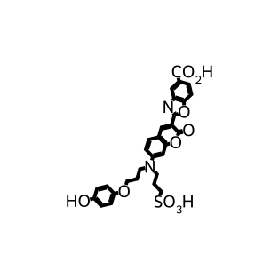 O=C(O)c1ccc2oc(-c3cc4ccc(N(CCCOc5ccc(O)cc5)CCCS(=O)(=O)O)cc4oc3=O)nc2c1